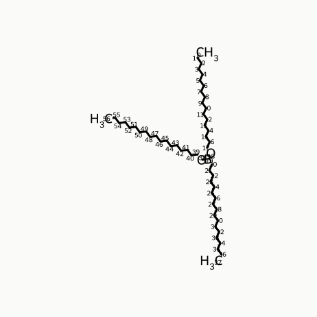 CCCCCCCCCCCCCCCCCCOB(CCCCCCCCCCCCCCCCCC)OCCCCCCCCCCCCCCCCCC